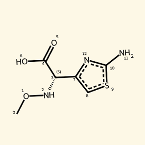 CON[C@H](C(=O)O)c1csc(N)n1